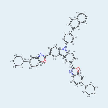 c1ccc2cc(-c3ccc(-n4c5ccc(-c6nc7cc(C8CCCCC8)ccc7o6)cc5c5cc(-c6nc7ccc(C8CCCCC8)cc7o6)ccc54)cc3)ccc2c1